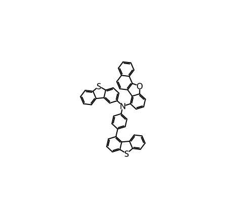 c1ccc2c(c1)ccc1c2oc2cccc(N(c3ccc(-c4cccc5sc6ccccc6c45)cc3)c3ccc4sc5ccccc5c4c3)c21